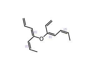 C=C/C=C(\C=C/C)O/C(C=C)=C/C=C\C